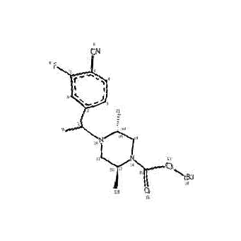 CC(c1ccc(C#N)c(F)c1)N1C[C@H](C)N(C(=O)OC(C)(C)C)C[C@H]1C